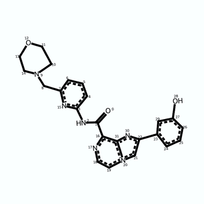 O=C(Nc1cccc(CN2CCOCC2)n1)c1nccn2cc(-c3cccc(O)c3)nc12